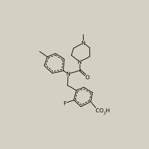 Cc1ccc(N(Cc2ccc(C(=O)O)cc2F)C(=O)N2CCN(C)CC2)cc1